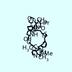 CCn1c(-c2cccnc2[C@H](C)OC)c2c3cc(ccc31)-c1csc(n1)C[C@H](NC(=O)[C@H](C(C)C)N(C)C(=O)N1CCOC[C@@H]1c1ccccc1)C(=O)N1CCC[C@H](N1)C(=O)OCC(C)(C)C2